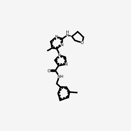 Cc1cccc(CNC(=O)c2cn(-c3nc(N[C@H]4CCOC4)ncc3C)cn2)c1